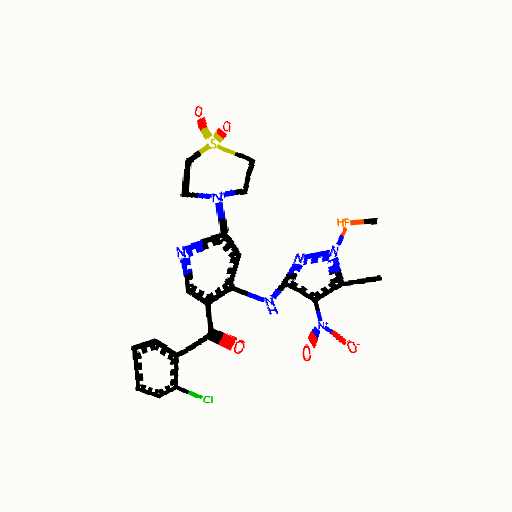 CPn1nc(Nc2cc(N3CCS(=O)(=O)CC3)ncc2C(=O)c2ccccc2Cl)c([N+](=O)[O-])c1C